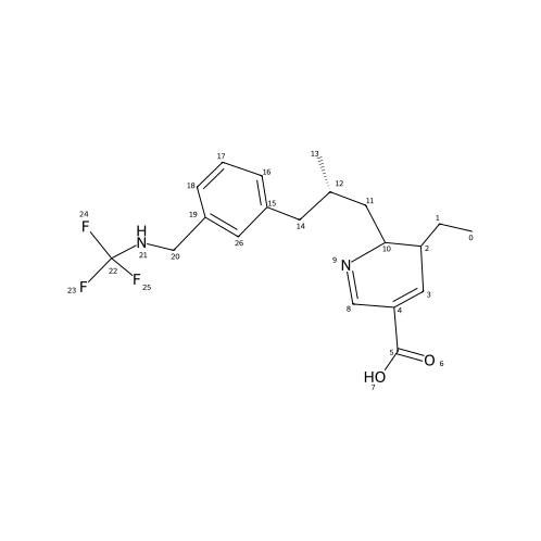 CCC1C=C(C(=O)O)C=NC1C[C@@H](C)Cc1cccc(CNC(F)(F)F)c1